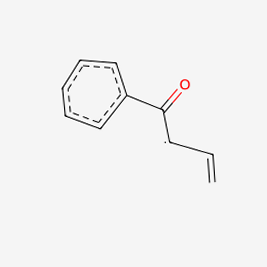 C=C[CH]C(=O)c1ccccc1